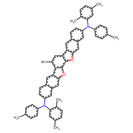 Cc1ccc(N(c2ccc3cc4c(cc3c2)oc2c4cc(C(C)C)c3c4cc5ccc(N(c6ccc(C)cc6)c6cc(C)ccc6C)cc5cc4oc23)c2cc(C)ccc2C)cc1